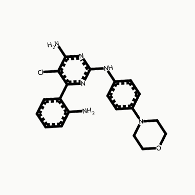 Nc1ccccc1-c1nc(Nc2ccc(N3CCOCC3)cc2)nc(N)c1Cl